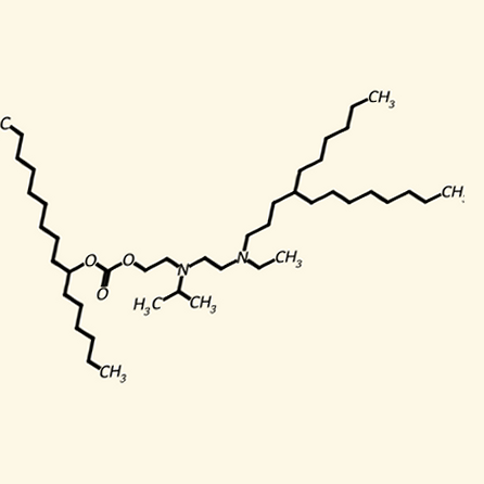 CCCCCCCCCC(CCCCCC)OC(=O)OCCN(CCN(CC)CCCC(CCCCCC)CCCCCCCC)C(C)C